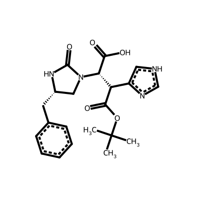 CC(C)(C)OC(=O)C(c1c[nH]cn1)[C@@H](C(=O)O)N1C[C@H](Cc2ccccc2)NC1=O